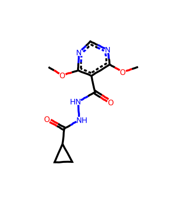 COc1ncnc(OC)c1C(=O)NNC(=O)C1CC1